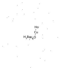 O.[BaH2].[Cu].[Ho]